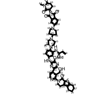 C=CC(=O)Nc1cc(Nc2nc(-c3ccnc(N4CCc5c(sc6c5CCCC6)C4=O)c3CO)cnc2OC)ccc1N1CCN(C2CCN(c3ccc4c(c3)C(=O)N(C3CCC(=O)N(C)C3=O)C4=O)CC2)C[C@@H]1C